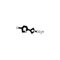 O=C(O)N1CC(c2ccc(Cl)cn2)C1